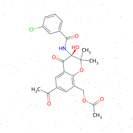 CC(=O)OCc1cc(C(C)=O)cc2c1OC(C)(C)[C@@](O)(NC(=O)c1cccc(Cl)c1)C2=O